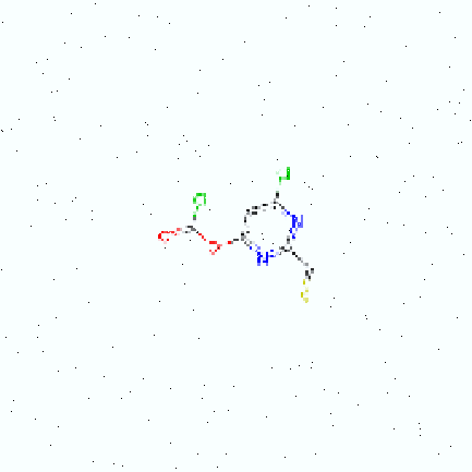 O=C(Cl)Oc1cc(Cl)nc(C=S)n1